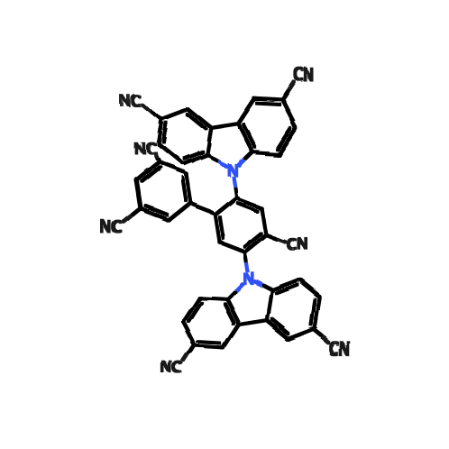 N#Cc1cc(C#N)cc(-c2cc(-n3c4ccc(C#N)cc4c4cc(C#N)ccc43)c(C#N)cc2-n2c3ccc(C#N)cc3c3cc(C#N)ccc32)c1